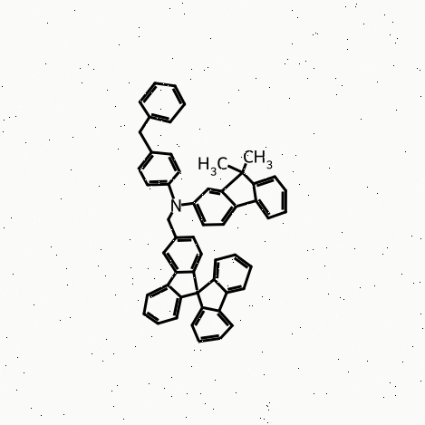 CC1(C)c2ccccc2-c2ccc(N(Cc3ccc4c(c3)-c3ccccc3C43c4ccccc4-c4ccccc43)c3ccc(Cc4ccccc4)cc3)cc21